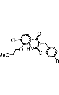 COCCOc1c(Cl)ccc2c(=O)n(Cc3ccc(Br)cc3)c(=O)[nH]c12